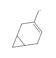 [CH2]C1=CCC2CC2C1